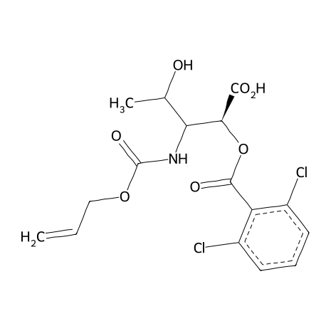 C=CCOC(=O)NC(C(C)O)[C@H](OC(=O)c1c(Cl)cccc1Cl)C(=O)O